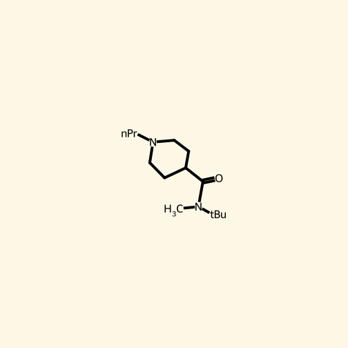 CCCN1CCC(C(=O)N(C)C(C)(C)C)CC1